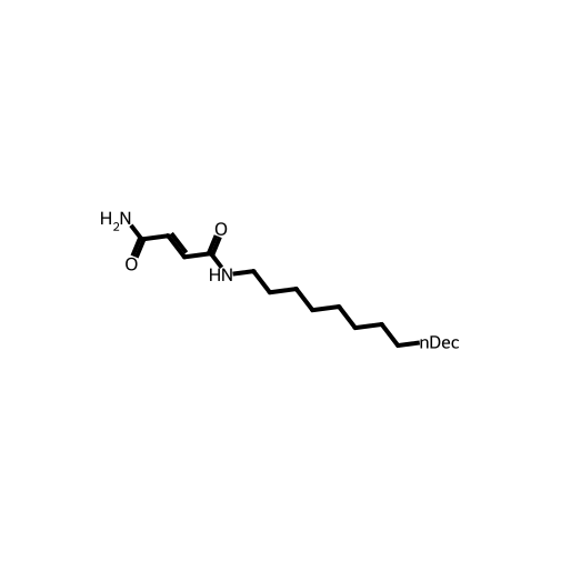 CCCCCCCCCCCCCCCCCCNC(=O)C=CC(N)=O